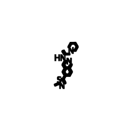 C=C(CN1CCCCC1)Nc1cc2cc(-c3cnc(C)s3)ccc2cn1